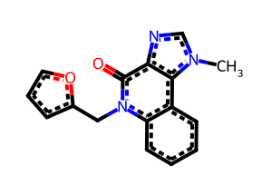 Cn1cnc2c(=O)n(Cc3ccco3)c3ccccc3c21